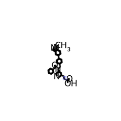 Cn1ncc2cc(-c3ccc(CN(C(=O)c4ccccc4)c4cncc(/C=C/C(=O)O)c4)cc3)ccc21